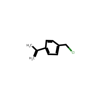 C=C(C)c1ccc(CCl)cc1